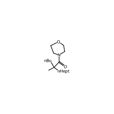 CCCCCCCC(C)(CCCC)C(=O)N1CCOCC1